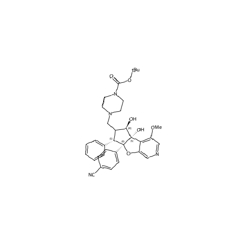 COc1cncc2c1[C@]1(O)[C@H](O)C(CN3CCN(C(=O)OC(C)(C)C)CC3)[C@@H](c3ccccc3)[C@]1(c1ccc(C#N)cc1)O2